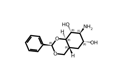 N[C@@H]1[C@@H](O)[C@@H]2O[C@H](c3ccccc3)OC[C@H]2C[C@H]1O